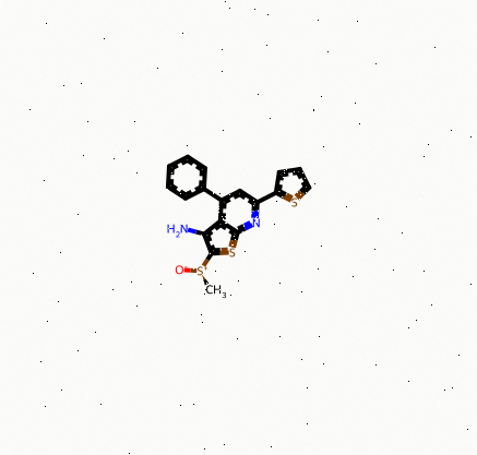 C[S@@+]([O-])c1sc2nc(-c3cccs3)cc(-c3ccccc3)c2c1N